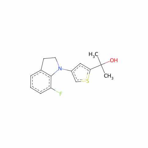 CC(C)(O)c1cc(N2CCc3cccc(F)c32)cs1